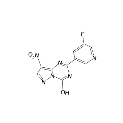 O=[N+]([O-])c1cnn2c(O)nc(-c3cncc(F)c3)nc12